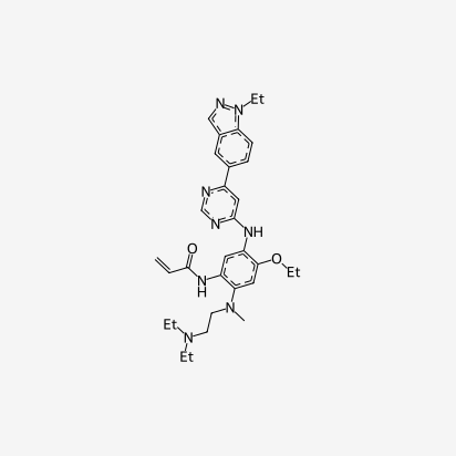 C=CC(=O)Nc1cc(Nc2cc(-c3ccc4c(cnn4CC)c3)ncn2)c(OCC)cc1N(C)CCN(CC)CC